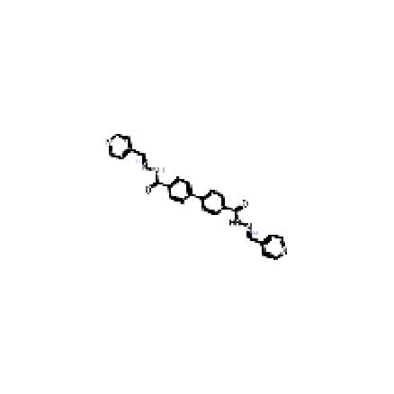 O=C(N/N=C/c1ccncc1)c1ccc(-c2ccc(C(=O)N/N=C/c3ccncc3)cc2)cc1